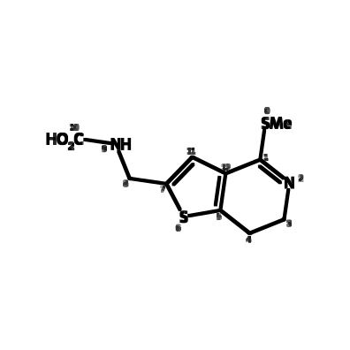 CSC1=NCCc2sc(CNC(=O)O)cc21